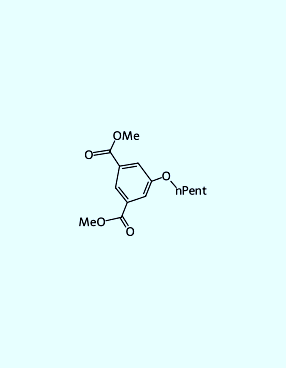 CCCCCOc1cc(C(=O)OC)cc(C(=O)OC)c1